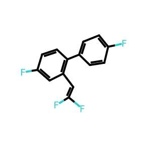 FC(F)=Cc1cc(F)ccc1-c1ccc(F)cc1